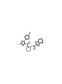 Cc1nc(C(=O)N2CCCCC2CNc2nc3ncccc3o2)c(-c2ccc(F)cc2)s1